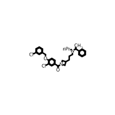 C=C(c1ccccc1)N(CCC)CCCC1CN(C(=O)c2ccc(OCc3cccc(Cl)c3)c(Cl)c2)C1